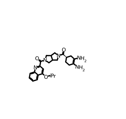 CC(C)Oc1cc(C(=O)N2CC3CN(C(=O)[C@@H]4CCC(N)=C(N)C4)CC3C2)nc2ccccc12